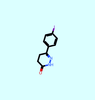 O=C1CCC(c2ccc(I)cc2)=NN1